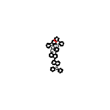 c1ccc(B(c2ccccc2)c2cccc3c(-c4ccc5c6c(cccc46)Oc4cc(N(c6ccccc6-c6ccccc6)c6cccc7c6oc6ccccc67)ccc4-5)cccc23)cc1